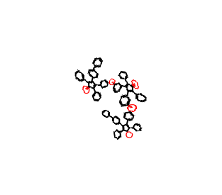 O=C1C(c2ccccc2)=C(c2ccc(Oc3cccc(C4=C(c5ccccc5)C(=O)C(c5ccccc5)=C4c4cccc(Oc5ccc(C6=C(c7ccccc7)C(=O)C(c7ccccc7)=C6c6ccc(-c7ccccc7)cc6)cc5)c4)c3)cc2)C(c2ccc(-c3ccccc3)cc2)=C1c1ccccc1